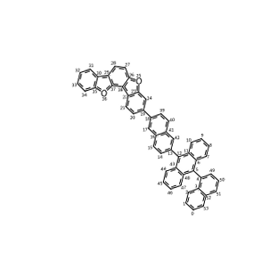 c1ccc2c(-c3c4ccccc4c(-c4ccc5cc(-c6ccc7c(c6)oc6ccc8c9ccccc9oc8c67)ccc5c4)c4ccccc34)cccc2c1